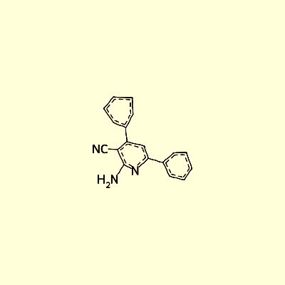 N#Cc1c(-c2ccccc2)cc(-c2ccccc2)nc1N